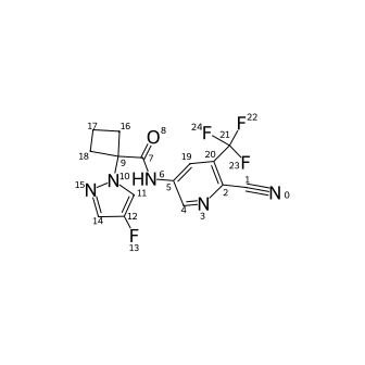 N#Cc1ncc(NC(=O)C2(n3cc(F)cn3)CCC2)cc1C(F)(F)F